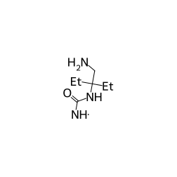 CCC(CC)(CN)NC([NH])=O